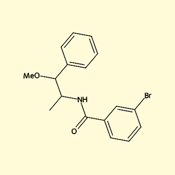 COC(c1ccccc1)C(C)NC(=O)c1cccc(Br)c1